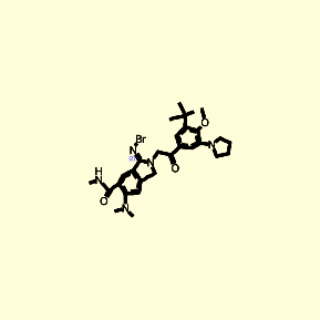 CNC(=O)c1cc2c(cc1N(C)C)CN(CC(=O)c1cc(N3CCCC3)c(OC)c(C(C)(C)C)c1)/C2=N\Br